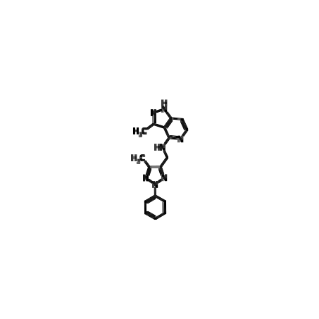 Cc1nn(-c2ccccc2)nc1CNc1nccc2[nH]nc(C)c12